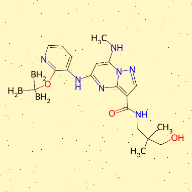 BC(B)(B)Oc1ncccc1Nc1cc(NC)n2ncc(C(=O)NCC(C)(C)CO)c2n1